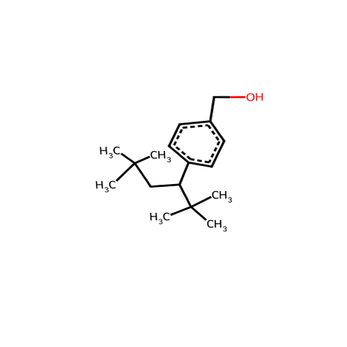 CC(C)(C)CC(c1ccc(CO)cc1)C(C)(C)C